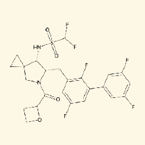 O=C(C1CCO1)N1CC2(CC2)[C@H](NS(=O)(=O)C(F)F)[C@@H]1Cc1cc(F)cc(-c2cc(F)cc(F)c2)c1F